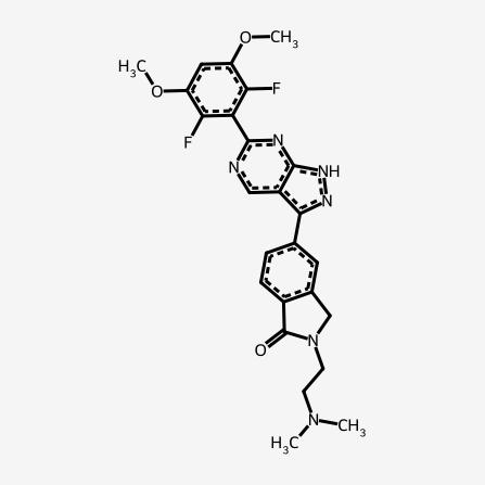 COc1cc(OC)c(F)c(-c2ncc3c(-c4ccc5c(c4)CN(CCN(C)C)C5=O)n[nH]c3n2)c1F